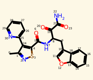 Cc1nsc(C(=O)NC(Cc2coc3ccccc23)C(=O)C(N)=O)c1-c1ccccn1